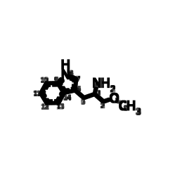 COCC(N)Cc1c[nH]c2ccccc12